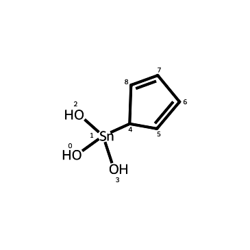 [OH][Sn]([OH])([OH])[CH]1C=CC=C1